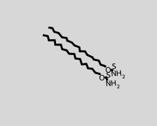 CCCCCCCCCCCCCCCCCCOC(N)=S.CCCCCCCCCCCCCCCCCCOC(N)=S